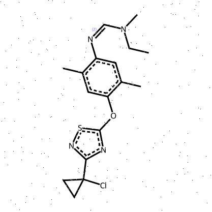 CCN(C)/C=N\c1cc(C)c(Oc2nc(C3(Cl)CC3)ns2)cc1C